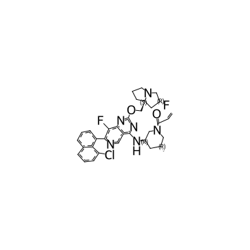 C=CC(=O)N1C[C@H](C)C[C@@H](Nc2nc(OC[C@@]34CCCN3C[C@H](F)C4)nc3c(F)c(-c4cccc5cccc(Cl)c45)ncc23)C1